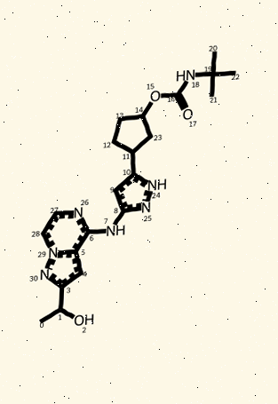 CC(O)c1cc2c(Nc3cc(C4CCC(OC(=O)NC(C)(C)C)C4)[nH]n3)nccn2n1